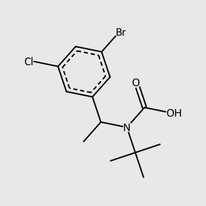 CC(c1cc(Cl)cc(Br)c1)N(C(=O)O)C(C)(C)C